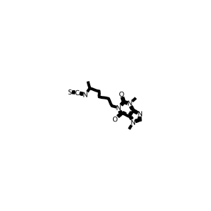 CC(CCCCn1c(=O)c2c(ncn2C)n(C)c1=O)N=C=S